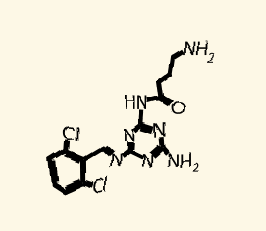 NCCCC(=O)Nc1nc(N)nc(N=Cc2c(Cl)cccc2Cl)n1